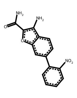 NC(=O)c1oc2cc(-c3ccccc3[N+](=O)[O-])ccc2c1N